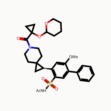 COc1cc([C@H]2CC23CCN(C(=O)C2(OC4CCCCO4)CC2)CC3)c(S(=O)(=O)NC(C)=O)cc1-c1ccccc1